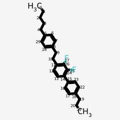 CCCCCc1ccc(CCc2ccc(-c3ccc(CCC)cc3)c(F)c2F)cc1